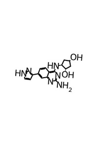 Nc1nc(N[C@H]2C[C@H](O)C[C@@H]2O)c2ccc(-c3cc[nH]n3)cc2n1